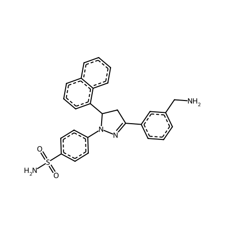 NCc1cccc(C2=NN(c3ccc(S(N)(=O)=O)cc3)C(c3cccc4ccccc34)C2)c1